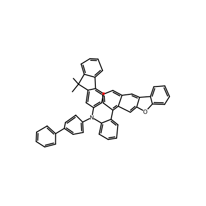 CC1(C)c2ccccc2-c2ccc(N(c3ccc(-c4ccccc4)cc3)c3ccccc3-c3cccc4cc5c(cc34)oc3ccccc35)cc21